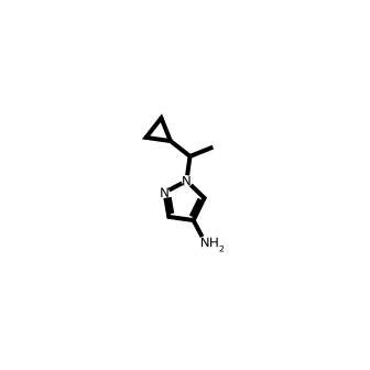 CC(C1CC1)n1cc(N)cn1